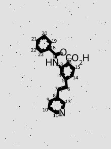 O=C(Nc1cc(C=Cc2cccnc2)ccc1C(=O)O)c1ccccc1